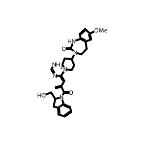 C=C(/C=C(\N=C/N)N1CCC(N2CCc3cc(OC)ccc3NC2=O)CC1)C(=O)N1c2ccccc2CC1CO